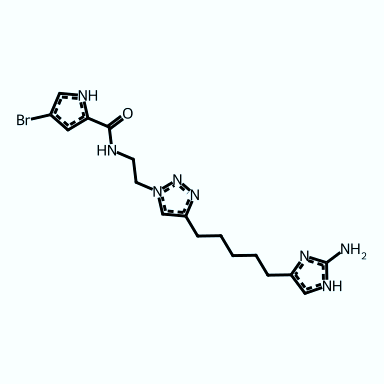 Nc1nc(CCCCCc2cn(CCNC(=O)c3cc(Br)c[nH]3)nn2)c[nH]1